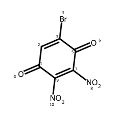 O=C1C=C(Br)C(=O)C([N+](=O)[O-])=C1[N+](=O)[O-]